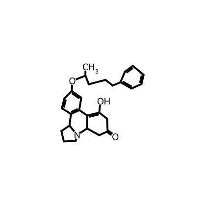 CC(CCCc1ccccc1)Oc1ccc2c(c1)C1=C(O)CC(=O)CC1N1CCCC21